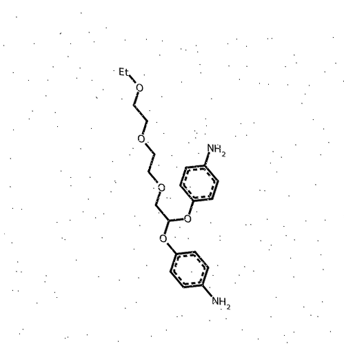 CCOCCOCCOCC(Oc1ccc(N)cc1)Oc1ccc(N)cc1